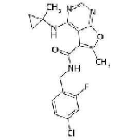 Cc1oc2ncnc(NC3(C)CC3)c2c1C(=O)NCc1ccc(Cl)cc1F